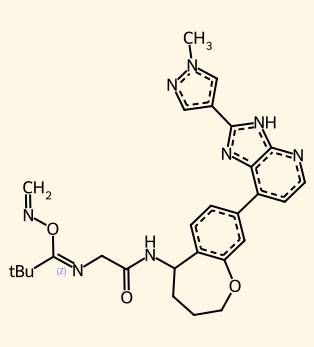 C=NO/C(=N\CC(=O)NC1CCCOc2cc(-c3ccnc4[nH]c(-c5cnn(C)c5)nc34)ccc21)C(C)(C)C